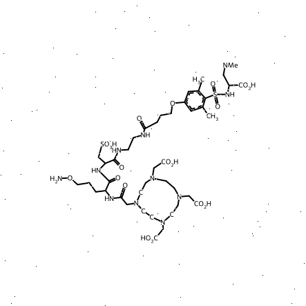 CNCC(NS(=O)(=O)c1c(C)cc(OCCCC(=O)NCCNC(=O)C(CS(=O)(=O)O)NC(=O)C(CCCON)NC(=O)CN2CCN(CC(=O)O)CCN(CC(=O)O)CCN(CC(=O)O)CC2)cc1C)C(=O)O